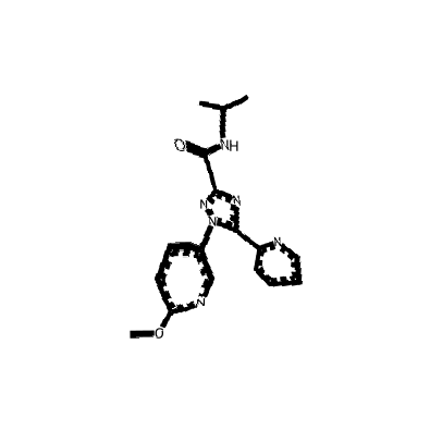 COc1ccc(-n2nc(C(=O)NC(C)C)nc2-c2ccccn2)cn1